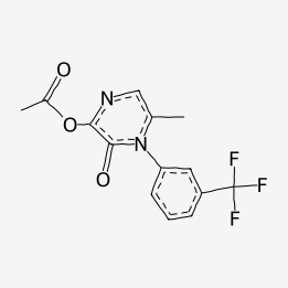 CC(=O)Oc1ncc(C)n(-c2cccc(C(F)(F)F)c2)c1=O